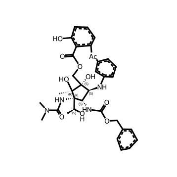 CC(=O)c1cccc(N[C@H]2[C@H](NC(=O)OCc3ccccc3)[C@@](NC(=O)N(C)C)([C@H](C)O)[C@@](C)(O)[C@@]2(O)COC(=O)c2c(C)cccc2O)c1